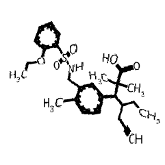 C#CCC(CC)C(c1ccc(C)c(CNS(=O)(=O)c2ccccc2OCC)c1)C(C)(C)C(=O)O